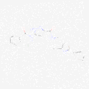 Cc1ccc(-c2nc(C)c(CNC(=O)c3cc(NC(=O)c4cc(F)c(F)cc4Cl)[nH]n3)s2)s1